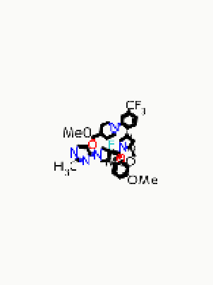 COC[C@@H]1C[C@@H](c2ccc(C(F)(F)F)cc2N2CCC(C(=O)OC)CC2)CN1C(=O)[C@]1(F)CN(c2ccnc(C)n2)C[C@H]1c1ccc(OC)cc1